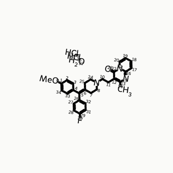 COc1ccc(C(=C2CCN(CCc3c(C)nc4ccccn4c3=O)CC2)c2ccc(F)cc2)cc1.Cl.Cl.O